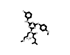 COCCCN(C(=O)[C@@H](N)CC(C)C)c1nc(Nc2cccc(F)c2)nc(Sc2ccc(OC)cc2)n1